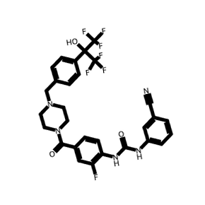 N#Cc1cccc(NC(=O)Nc2ccc(C(=O)N3CCN(Cc4ccc(C(O)(C(F)(F)F)C(F)(F)F)cc4)CC3)cc2F)c1